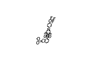 COC(=O)[C@H]1Cc2cccc(S(=O)(=O)N3[C@H](C)CN(c4ccc(OC(F)(F)F)cc4)C[C@@H]3C)c2C1